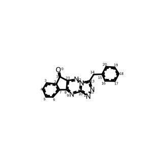 O=C1c2ccccc2-c2nc3nnc(Cc4ccccc4)n3nc21